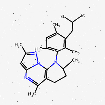 CCC(CC)Cc1c(C)cc(C)c(N2c3c(c(C)nc4cc(C)nn34)CCC2C)c1C